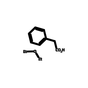 CCOCC.O=C(O)Cc1ccccc1